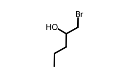 CCCC(O)CBr